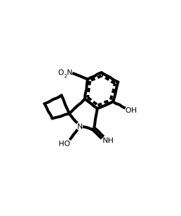 N=C1c2c(O)ccc([N+](=O)[O-])c2C2(CCC2)N1O